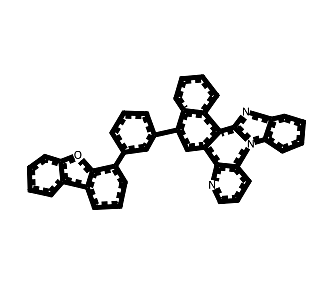 c1cc(-c2cc3c4ncccc4n4c5ccccc5nc4c3c3ccccc23)cc(-c2cccc3c2oc2ccccc23)c1